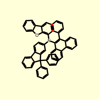 c1ccc(-c2c(N(c3ccc4c(c3)C(c3ccccc3)(c3ccccc3)c3ccccc3-4)c3cccc4c3oc3ccccc34)c3ccccc3c3ccccc23)cc1